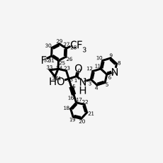 O=C(Nc1ccc2ncccc2c1)C(O)(C#Cc1ccccc1)CC1(c2cc(C(F)(F)F)ccc2F)CC1